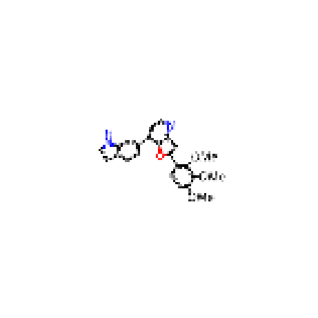 COc1ccc(-c2cc3nccc(-c4ccc5cc[nH]c5c4)c3o2)c(OC)c1OC